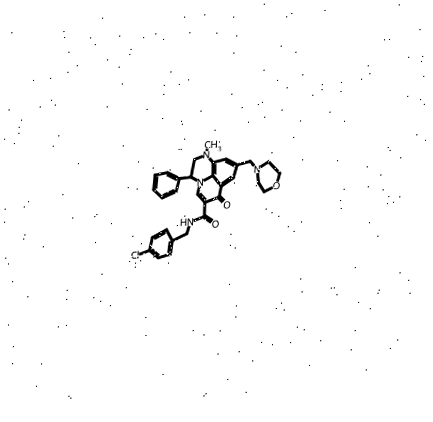 CN1CC(c2ccccc2)n2cc(C(=O)NCc3ccc(Cl)cc3)c(=O)c3cc(CN4CCOCC4)cc1c32